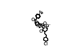 CN(C)c1ccc(C(=O)N2C=CN3CN(C4C(=O)C(CCC5CCC(Cl)CC5)CC[N+]4([O-])C(=O)O)CC3=C2)cc1